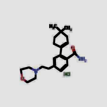 CC1(C)CC=C(c2cc(CCN3CCOCC3)ccc2C(N)=O)CC1.Cl